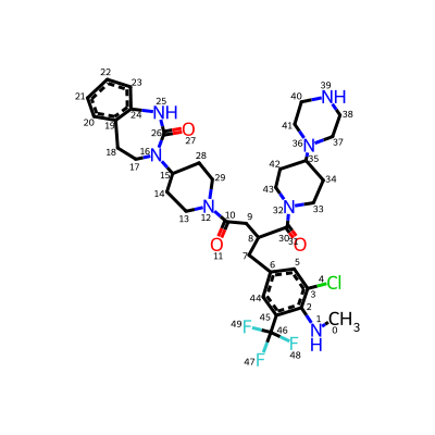 CNc1c(Cl)cc(CC(CC(=O)N2CCC(N3CCc4ccccc4NC3=O)CC2)C(=O)N2CCC(N3CCNCC3)CC2)cc1C(F)(F)F